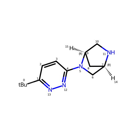 CC(C)(C)c1ccc(N2C[C@H]3C[C@@H]2CN3)nn1